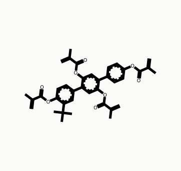 C=C(C)C(=O)Oc1ccc(-c2cc(OC(=O)C(=C)C)c(-c3ccc(OC(=O)C(=C)C)c(C(C)(C)C)c3)cc2OC(=O)C(=C)C)cc1